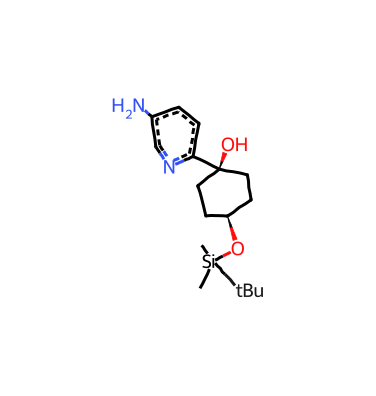 CC(C)(C)[Si](C)(C)O[C@H]1CC[C@](O)(c2ccc(N)cn2)CC1